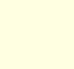 CCCCCC(C)/C(F)=C\CC(C)C